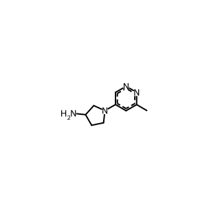 Cc1cc(N2CCC(N)C2)cnn1